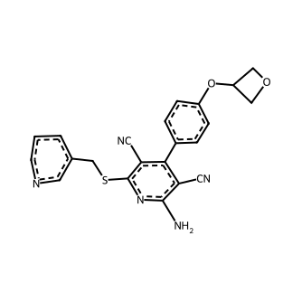 N#Cc1c(N)nc(SCc2cccnc2)c(C#N)c1-c1ccc(OC2COC2)cc1